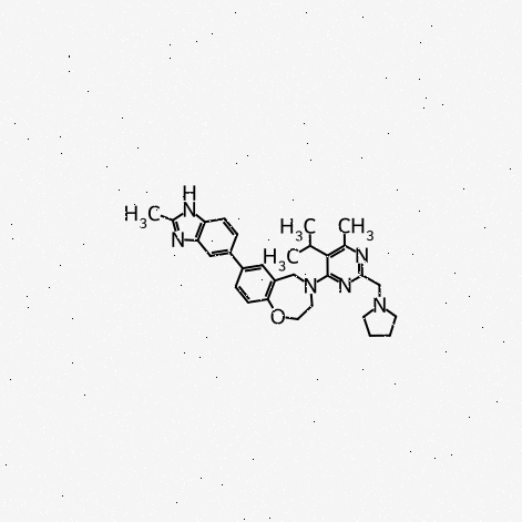 Cc1nc2cc(-c3ccc4c(c3)CN(c3nc(CN5CCCC5)nc(C)c3C(C)C)CCO4)ccc2[nH]1